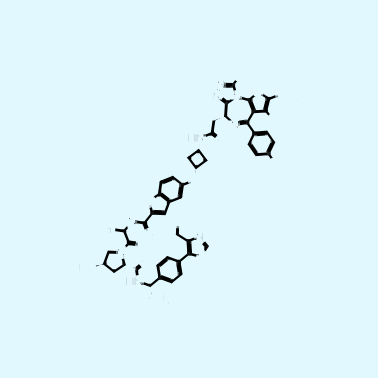 Cc1sc2c(c1C)C(c1ccc(Cl)cc1)=N[C@@H](CC(=O)N[C@H]1C[C@@H](Oc3ccc4oc(C(=O)NC(C(=O)N5C[C@H](O)C[C@H]5C(=O)N[C@@H](C)c5ccc(-c6scnc6CO)cc5)C(C)C)cc4c3)C1)c1nnc(C)n1-2